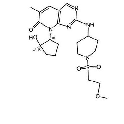 COCCS(=O)(=O)N1CCC(Nc2ncc3cc(C)c(=O)n([C@@H]4CCC[C@@]4(C)O)c3n2)CC1